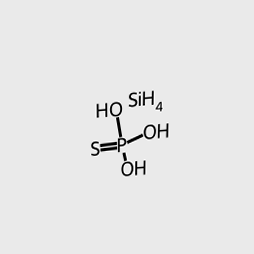 OP(O)(O)=S.[SiH4]